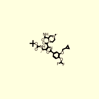 [CH2]N1CCN(C(=O)c2nc(-c3ccc(OC(F)F)c(OCC4CC4)c3)oc2[C@H](C)NC(=O)OC(C)(C)C)C(C(N)=O)C1